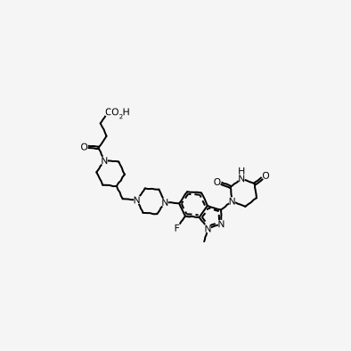 Cn1nc(N2CCC(=O)NC2=O)c2ccc(N3CCN(CC4CCN(C(=O)CCC(=O)O)CC4)CC3)c(F)c21